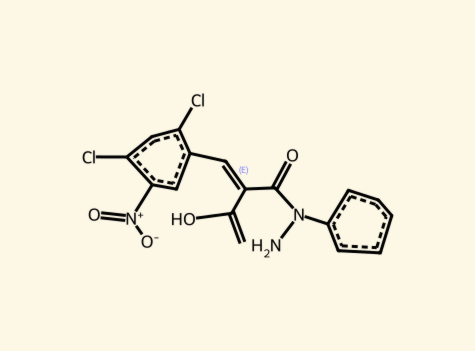 C=C(O)/C(=C\c1cc([N+](=O)[O-])c(Cl)cc1Cl)C(=O)N(N)c1ccccc1